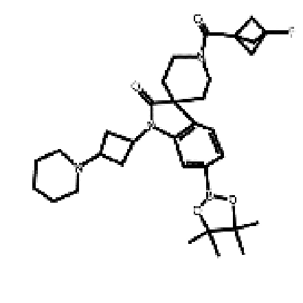 CC1(C)OB(c2ccc3c(c2)N(C2CC(N4CCCCC4)C2)C(=O)C32CCN(C(=O)C34CC(F)(C3)C4)CC2)OC1(C)C